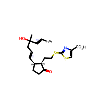 CCC/C=C/C(C)(O)C/C=C/[C@@H]1CCC(=O)[C@@H]1CCSc1nc(C(=O)O)cs1